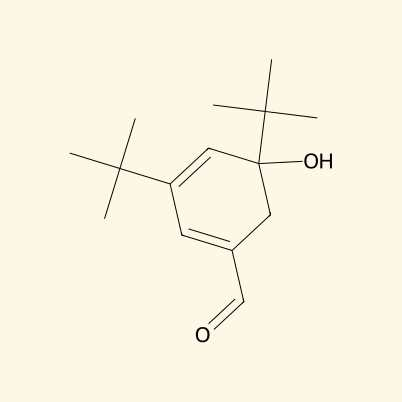 CC(C)(C)C1=CC(O)(C(C)(C)C)CC(C=O)=C1